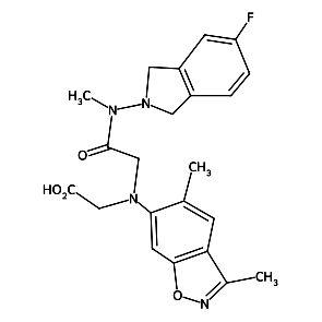 Cc1cc2c(C)noc2cc1N(CC(=O)O)CC(=O)N(C)N1Cc2ccc(F)cc2C1